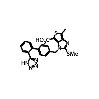 CSc1nc2c(C)sc(C(=O)O)c2n1Cc1ccc(-c2ccccc2-c2nnn[nH]2)cc1